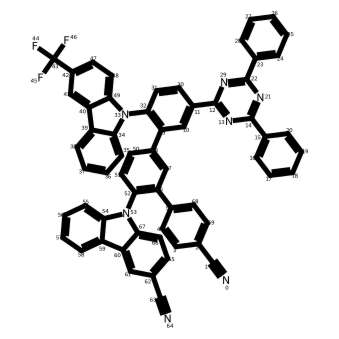 N#Cc1ccc(-c2cc(-c3cc(-c4nc(-c5ccccc5)nc(-c5ccccc5)n4)ccc3-n3c4ccccc4c4cc(C(F)(F)F)ccc43)ccc2-n2c3ccccc3c3cc(C#N)ccc32)cc1